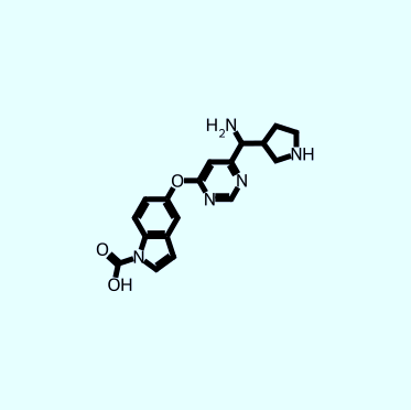 NC(c1cc(Oc2ccc3c(ccn3C(=O)O)c2)ncn1)C1CCNC1